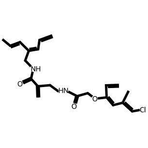 C=C/C=C(\C=C\C)CNC(=O)C(=C)CCNC(=O)CO/C(C=C)=C/C(C)=C/Cl